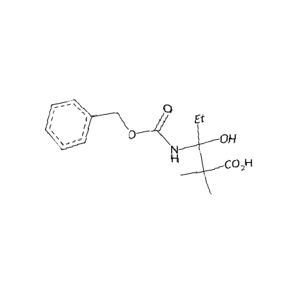 CCC(O)(NC(=O)OCc1ccccc1)C(C)(C)C(=O)O